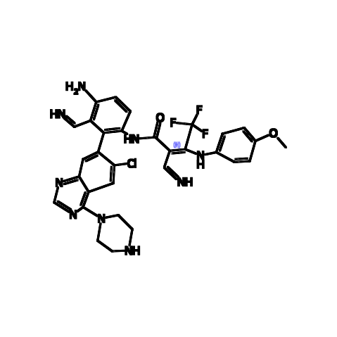 COc1ccc(N/C(=C(\C=N)C(=O)Nc2ccc(N)c(C=N)c2-c2cc3ncnc(N4CCNCC4)c3cc2Cl)C(F)(F)F)cc1